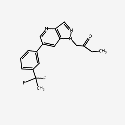 CCC(=O)Cn1ncc2ncc(-c3cccc(C(C)(F)F)c3)cc21